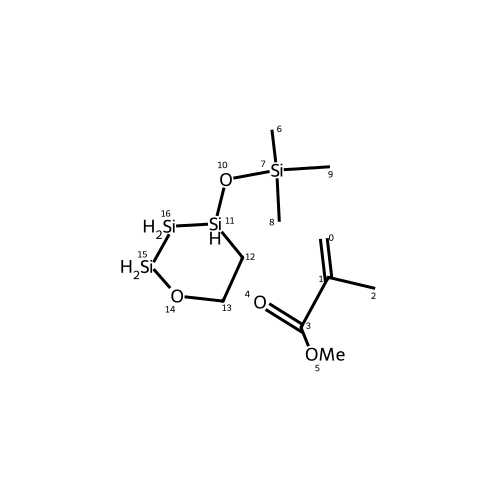 C=C(C)C(=O)OC.C[Si](C)(C)O[SiH]1CCO[SiH2][SiH2]1